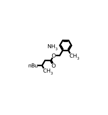 CCCCC(C)CC(=O)OCc1ccccc1C.N